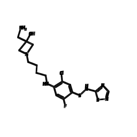 NCC1(O)CN(CCCCNc2cc(F)c(SNc3ncns3)cc2Cl)C1